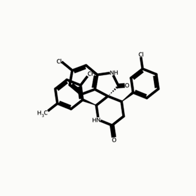 Cc1ccc(C)c([C@@H]2NC(=O)C[C@H](c3cccc(Cl)c3)[C@@]23C(=O)Nc2cc(Cl)ccc23)c1